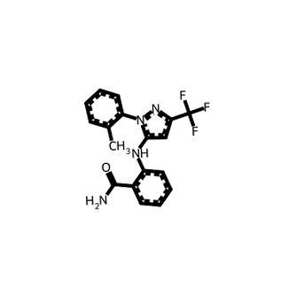 Cc1ccccc1-n1nc(C(F)(F)F)cc1Nc1ccccc1C(N)=O